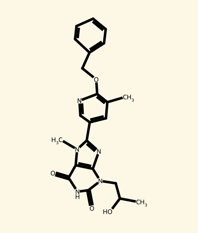 Cc1cc(-c2nc3c(c(=O)[nH]c(=O)n3CC(C)O)n2C)cnc1OCc1ccccc1